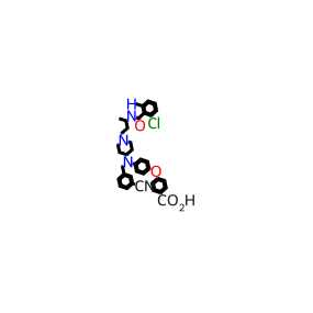 Cc1cccc(Cl)c1C(=O)NC(C)CCN1CCC(N(Cc2cccc(C#N)c2)c2ccc(Oc3ccc(C(=O)O)cc3)cc2)CC1